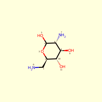 NC[C@H]1OC(O)[C@H](N)[C@@H](O)[C@@H]1O